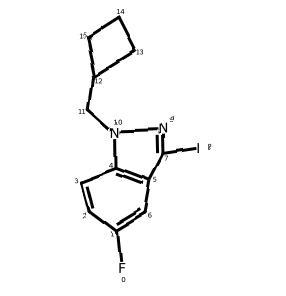 Fc1ccc2c(c1)c(I)nn2CC1CCC1